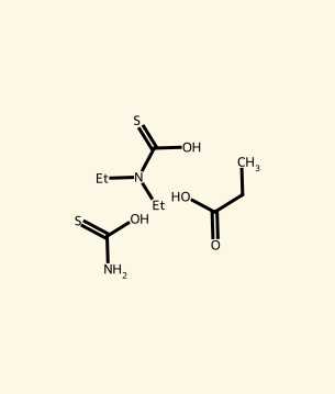 CCC(=O)O.CCN(CC)C(O)=S.NC(O)=S